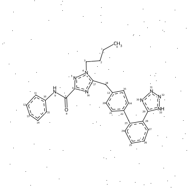 CCCCn1nc(C(=O)Nc2ccccc2)nc1Cc1ccc(-c2ccccc2-c2nnn[nH]2)cc1